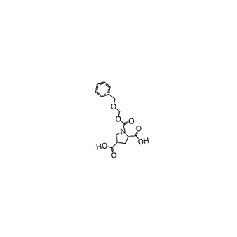 O=C(O)C1CC(C(=O)O)N(C(=O)OCOCc2ccccc2)C1